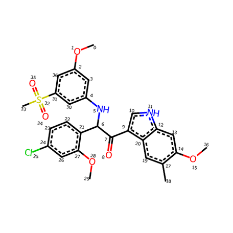 COc1cc(NC(C(=O)c2c[nH]c3cc(OC)c(C)cc23)c2ccc(Cl)cc2OC)cc(S(C)(=O)=O)c1